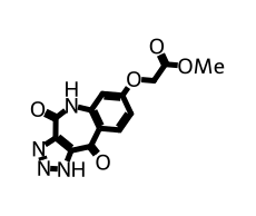 COC(=O)COc1ccc2c(=O)c3[nH]nnc3c(=O)[nH]c2c1